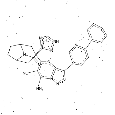 C=CC1(c2nc3c(-c4ccc(-c5ccccc5)nc4)cnn3c(N)c2C#N)CC2CCC(C1)N2C(=O)c1nc[nH]n1